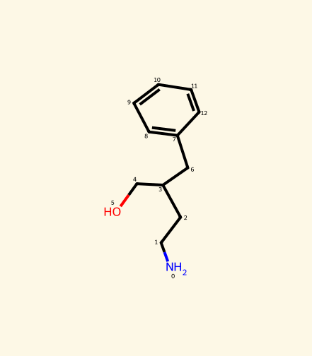 NCCC(CO)Cc1ccccc1